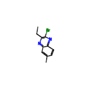 CCc1nc2cc(C)ccc2nc1Br